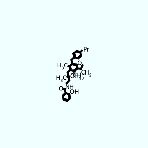 Cc1c(CC(C)(C)CCNC(=O)c2ccccc2O)c(C)c2c(c1Cc1ccc(C(C)C)cc1)OCC2C